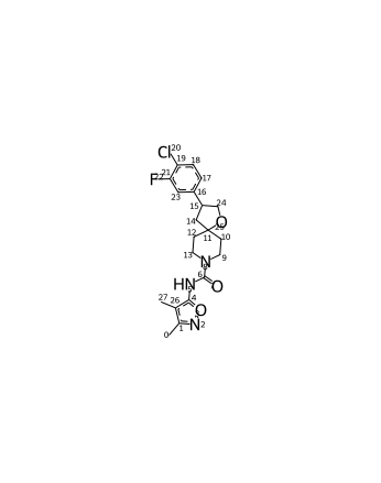 Cc1noc(NC(=O)N2CCC3(CC2)CC(c2ccc(Cl)c(F)c2)CO3)c1C